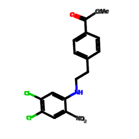 COC(=O)c1ccc(CCNc2cc(Cl)c(Cl)cc2[N+](=O)[O-])cc1